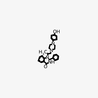 CC(CN1CCN(c2ccc(O)cc2)CC1)N1c2ccccc2C(=O)NC1c1ccccc1